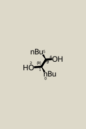 CCCC[C@@H](O)[C@H](O)CCCC